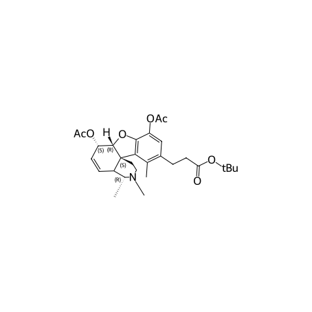 CC(=O)Oc1cc(CCC(=O)OC(C)(C)C)c(C)c2c1O[C@H]1[C@@H](OC(C)=O)C=CC3[C@@H](C)N(C)CC[C@@]231